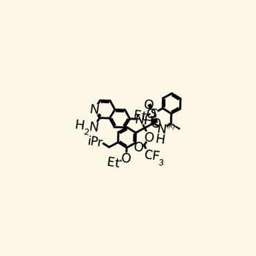 CCOc1cc(C(Nc2ccc3c(N)nccc3c2)(OC(=O)C(F)(F)F)C(=O)N[C@H](C)c2ccccc2S(=O)(=O)CC)ccc1CC(C)C